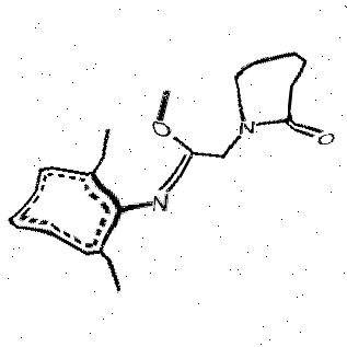 CO/C(CN1CCCC1=O)=N\c1c(C)cccc1C